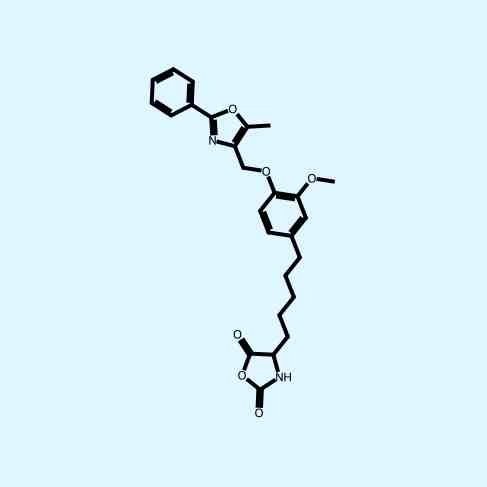 COc1cc(CCCCCC2NC(=O)OC2=O)ccc1OCc1nc(-c2ccccc2)oc1C